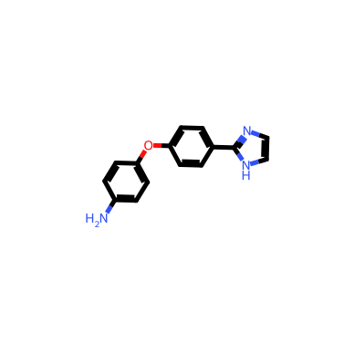 Nc1ccc(Oc2ccc(-c3ncc[nH]3)cc2)cc1